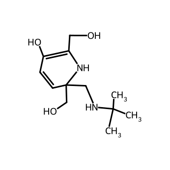 CC(C)(C)NCC1(CO)C=CC(O)=C(CO)N1